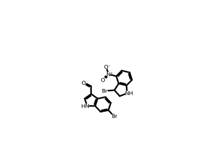 O=Cc1c[nH]c2cc(Br)ccc12.O=[N+]([O-])c1cccc2c1C(Br)CN2